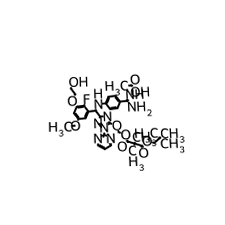 CC(=O)O.COc1cc(OCCO)c(F)c(C(Nc2ccc(C(=N)N)cc2)c2nc(OCOC(=O)C(C)(C)C(=O)OCC(C)(C)C)n(-c3ncccn3)n2)c1